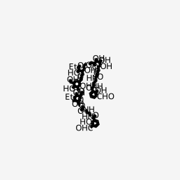 CCC1OC(COCC2OC(COC(=O)NCCNC(=O)c3cccc(C=O)c3O)C(O)C(O)C2O)C(O)C(COCC2CC(CO)C(O)C(COCC3OC(COC(=O)NCCNC(=O)c4cccc(C=O)c4O)C(C)(O)C(CC)C3O)C2O)C1O